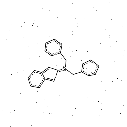 [C]1=c2ccccc2=CC1=[Si](Cc1ccccc1)Cc1ccccc1